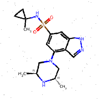 C[C@H]1CN(c2cc(S(=O)(=O)NC3(C)CC3)cc3[nH]ncc23)C[C@H](C)N1